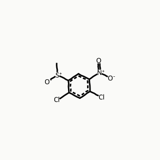 C[S+]([O-])c1cc([N+](=O)[O-])c(Cl)cc1Cl